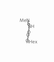 C=C(CC1=CC=C(NCCCCCOCCOCCCCCOCCCCCC)CC1)NC